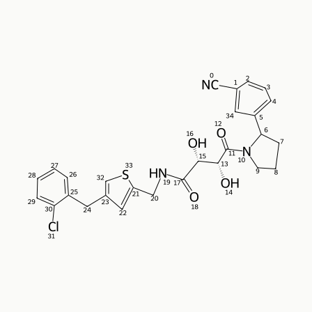 N#Cc1cccc(C2CCCN2C(=O)[C@H](O)[C@@H](O)C(=O)NCc2cc(Cc3ccccc3Cl)cs2)c1